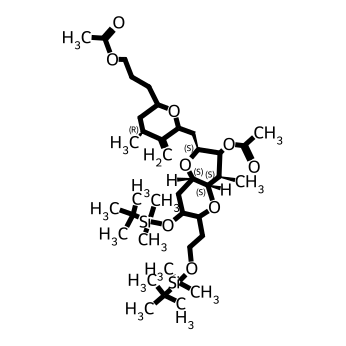 C=C1C(C[C@@H]2O[C@H]3CC(O[Si](C)(C)C(C)(C)C)C(CCO[Si](C)(C)C(C)(C)C)O[C@H]3[C@H](C)C2OC(C)=O)OC(CCCOC(C)=O)C[C@H]1C